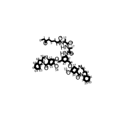 CCC(=O)CCCCC(=O)NC(C)C(=O)NC(C)C(=O)Nc1cc(COc2cc3c(cc2OC)C(=O)N2c4ccccc4CC2C=N3)cc(COc2cc3c(cc2OC)C(=O)N2c4ccccc4CC2C=N3)c1